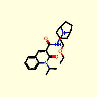 CCOCCN1C2CCC1CC(NC(=O)c1cc3ccccc3n(C(C)C)c1=O)C2